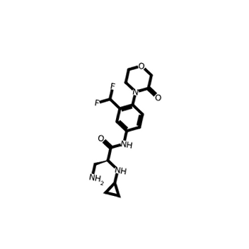 NC[C@H](NC1CC1)C(=O)Nc1ccc(N2CCOCC2=O)c(C(F)F)c1